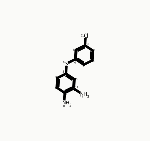 Nc1ccc(Sc2cccc(Cl)c2)cc1N